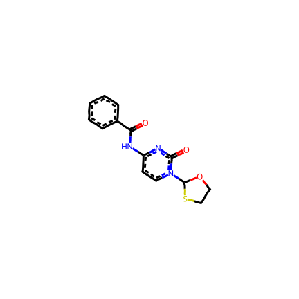 O=C(Nc1ccn(C2OCCS2)c(=O)n1)c1ccccc1